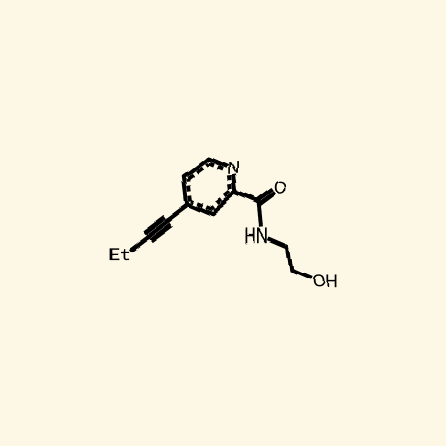 CCC#Cc1ccnc(C(=O)NCCO)c1